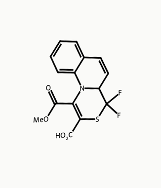 COC(=O)C1=C(C(=O)O)SC(F)(F)C2C=Cc3ccccc3N12